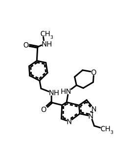 CCn1ncc2c(NC3CCOCC3)c(C(=O)NCc3ccc(C(=O)NC)cc3)cnc21